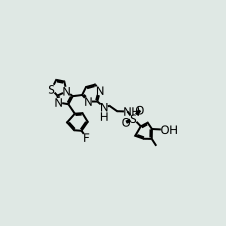 Cc1ccc(S(=O)(=O)NCCNc2nccc(-c3c(-c4ccc(F)cc4)nc4sccn34)n2)cc1O